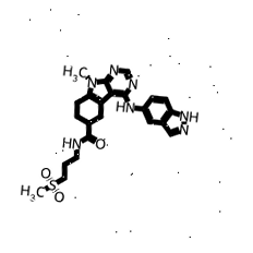 Cn1c2c(c3c(Nc4ccc5[nH]ncc5c4)ncnc31)CC(C(=O)NCCCS(C)(=O)=O)CC2